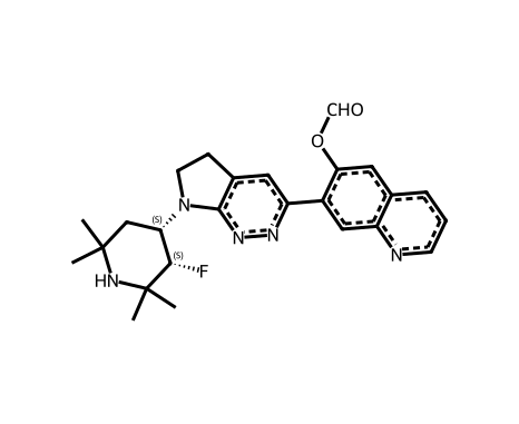 CC1(C)C[C@H](N2CCc3cc(-c4cc5ncccc5cc4OC=O)nnc32)[C@H](F)C(C)(C)N1